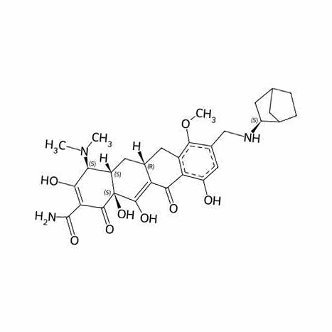 COc1c(CN[C@H]2CC3CCC2C3)cc(O)c2c1C[C@H]1C[C@H]3[C@H](N(C)C)C(O)=C(C(N)=O)C(=O)[C@@]3(O)C(O)=C1C2=O